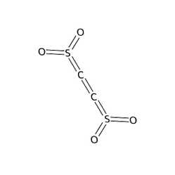 O=S(=O)=C=C=S(=O)=O